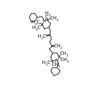 C=C(CCC(=C)CC1CC(C)(C)N(CC2CCCCC2)C(C)(C)C1)CC1CC(C)(C)N(CC2CCCCC2)C(C)(C)C1